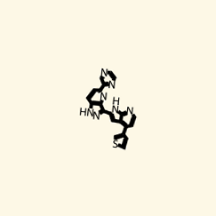 c1cnc(-c2ccc3[nH]nc(-c4cc5c(-c6ccsc6)ccnc5[nH]4)c3n2)cn1